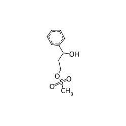 CS(=O)(=O)OCCC(O)c1ccccc1